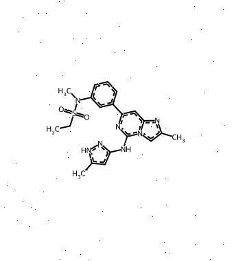 CCS(=O)(=O)N(C)c1cccc(-c2cc3nc(C)cn3c(Nc3cc(C)[nH]n3)n2)c1